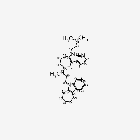 CN(C)CCn1c2c(c3cccnc31)CC(N(C)CCn1c3c(c4ccncc41)CCCCO3)CCO2